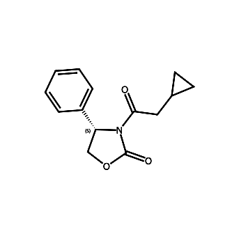 O=C(CC1CC1)N1C(=O)OC[C@@H]1c1ccccc1